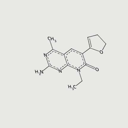 CCn1c(=O)c(C2=CCCO2)cc2c(C)nc(N)nc21